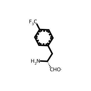 N[C@@H]([C]=O)Cc1ccc(C(F)(F)F)cc1